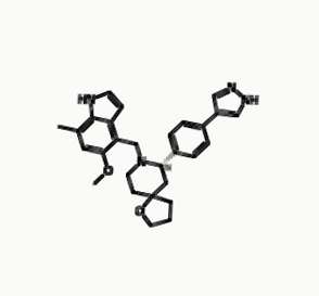 COc1cc(C)c2[nH]ccc2c1CN1CCC2(CCCO2)C[C@H]1c1ccc(-c2cn[nH]c2)cc1